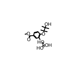 COC(=O)c1ccc(OC(C)(C)C(C)(C)O)c(C)c1.OB(O)O